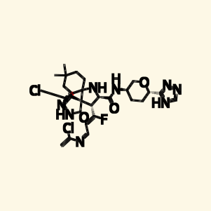 C=C(Cl)/N=C\C=C(/F)[C@H]1[C@H](C(=O)N[C@@H]2CC[C@@H](c3nnc[nH]3)OC2)NC2(CCC(C)(C)CC2)[C@@]12C(=O)Nc1nc(Cl)ccc12